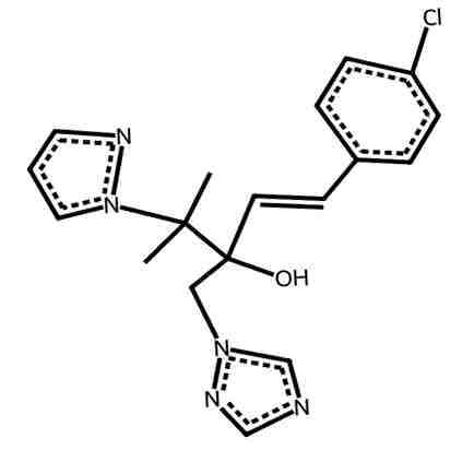 CC(C)(n1cccn1)C(O)(C=Cc1ccc(Cl)cc1)Cn1cncn1